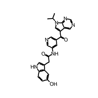 CC(C)n1cc(C(=O)c2cncc(NC(=O)Cc3c[nH]c4ccc(O)cc34)c2)c2cncnc21